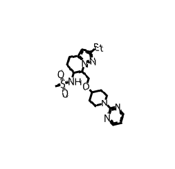 CCc1cc2n(n1)C(COC1CCN(c3ncccn3)CC1)C(NS(C)(=O)=O)CC2